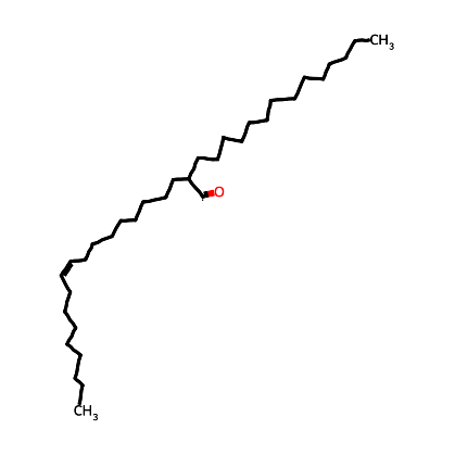 CCCCCCCC/C=C\CCCCCCCCC([C]=O)CCCCCCCCCCCCCC